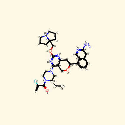 C=C(F)C(=O)N1CCN(c2nc(OCC34CCCN3CCC4)nc3c2COC(c2cccc4cc(N)ncc24)C3)C[C@@H]1CC#N